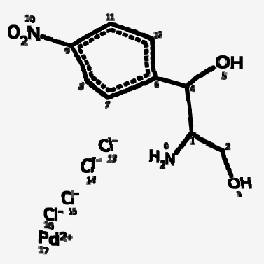 NC(CO)C(O)c1ccc([N+](=O)[O-])cc1.[Cl-].[Cl-].[Cl-].[Cl-].[Pd+2]